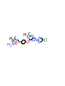 Cc1nc(CNc2ncc(Cl)cn2)cc(Oc2ccc(CCN(C)S(N)(=O)=O)cc2)n1